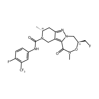 C[C@@H]1Cc2nn3c(c2CN1C(=O)Nc1ccc(F)c(C(F)(F)F)c1)C(=O)N(C)O[C@H](CF)C3